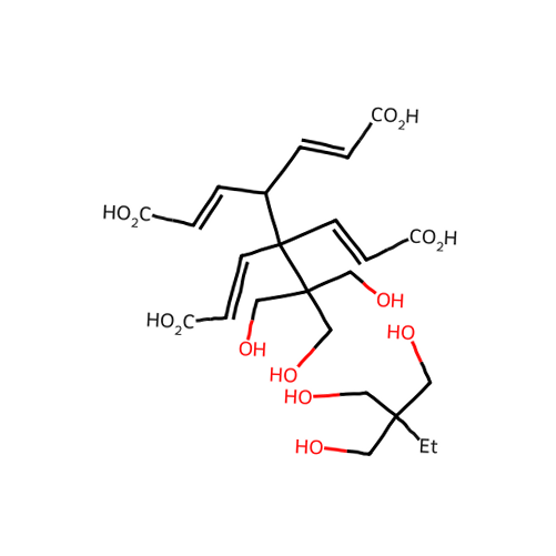 CCC(CO)(CO)CO.O=C(O)C=CC(C=CC(=O)O)C(C=CC(=O)O)(C=CC(=O)O)C(CO)(CO)CO